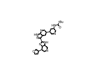 CC(C)(C)C(=O)Nc1cncc(-c2cnc3[nH]nc(-c4nc5c(-c6ccoc6)cncc5[nH]4)c3c2)c1